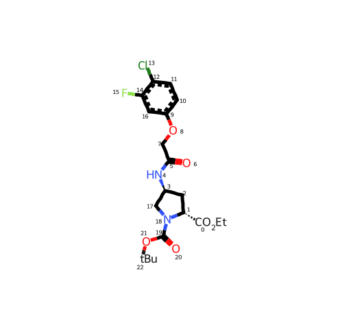 CCOC(=O)[C@H]1C[C@H](NC(=O)COc2ccc(Cl)c(F)c2)CN1C(=O)OC(C)(C)C